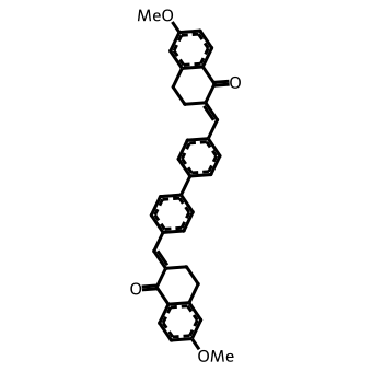 COc1ccc2c(c1)CC/C(=C\c1ccc(-c3ccc(/C=C4\CCc5cc(OC)ccc5C4=O)cc3)cc1)C2=O